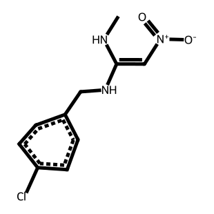 CN/C(=C\[N+](=O)[O-])NCc1ccc(Cl)cc1